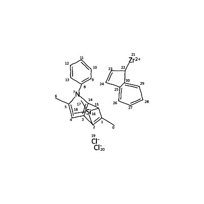 CC1=C2c3cc(C)n(-c4ccccc4)c3C1[Si]2(C)C.[Cl-].[Cl-].[Zr+2][CH]1C=Cc2ccccc21